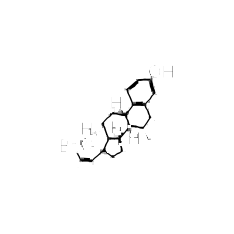 C[C@@H]1Cc2cc(O)ccc2[C@H]2CC[C@@]3(C)[C@@H](CC[C@@]3(O)/C=C\Br)[C@H]12